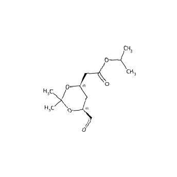 CC(C)OC(=O)C[C@H]1C[C@@H](C=O)OC(C)(C)O1